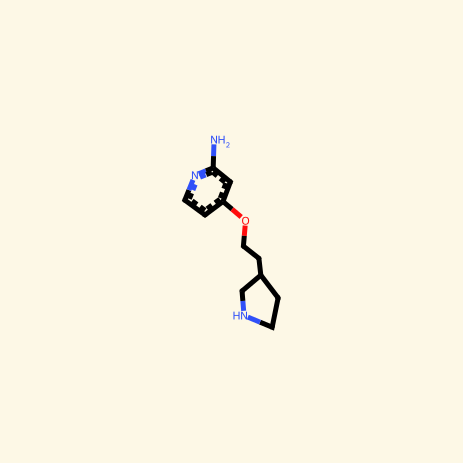 Nc1cc(OCCC2CCNC2)ccn1